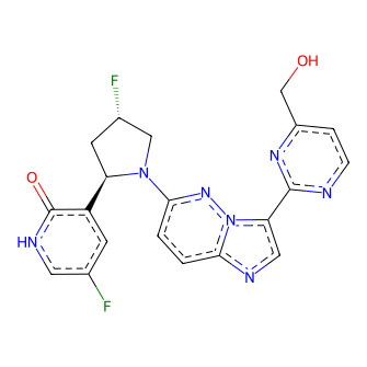 O=c1[nH]cc(F)cc1[C@H]1C[C@H](F)CN1c1ccc2ncc(-c3nccc(CO)n3)n2n1